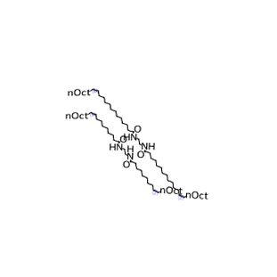 CCCCCCCC/C=C\CCCCCCCC(=O)NCCNC(=O)CCCCCCC/C=C\CCCCCCCC.CCCCCCCC/C=C\CCCCCCCCCCCC(=O)NCCNC(=O)CCCCCCCCCCC/C=C\CCCCCCCC